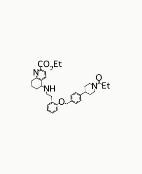 CCOC(=O)c1ccc2c(n1)CCCC2NCCc1ccccc1OCc1ccc(C2CCN(C(=O)CC)CC2)cc1